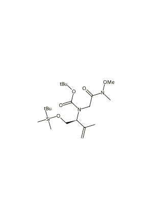 C=C(C)[C@@H](CO[Si](C)(C)C(C)(C)C)N(CC(=O)N(C)OC)C(=O)OC(C)(C)C